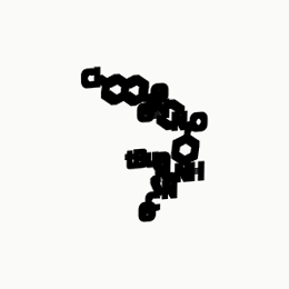 CC(C)(C)ON1CC(=C=O)N=C1N[C@H]1CC[C@H](C(=O)N2CCN(S(=O)(=O)c3ccc4cc(Cl)ccc4c3)CC2)CC1